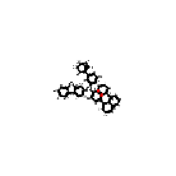 c1ccc(-c2cccc3cccc(-c4ccc(N(c5cccc(C67CCC(CC6)C7)c5)c5ccc6c(c5)oc5ccccc56)cc4)c23)cc1